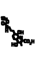 Cc1c(C(=O)O)nc2c(O)c(CCCNC(=O)OC(C)(C)C)ccc2c1O